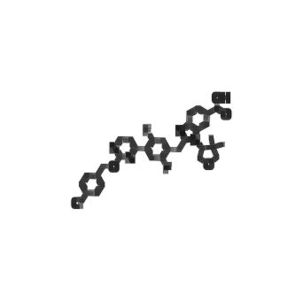 CC1(C)COC[C@H]1n1c(Cc2cc(F)c(-c3ccnc(OCc4ccc(Cl)cc4)n3)cc2F)nc2ccc(C(=O)O)cc21